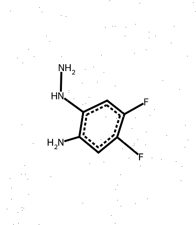 NNc1cc(F)c(F)cc1N